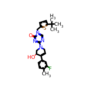 Cc1ccc(C2=CCN(c3ncn(Cc4ccc(C(C)(C)C)s4)c(=O)n3)C[C@@H]2O)cc1F